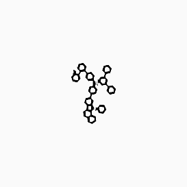 c1ccc(-c2cc(-c3ccccc3)cc(N(c3ccc(-c4ccc5c6ccc7ccccc7c6n(-c6ccccc6)c5c4)cc3)c3ccc(-c4cccc5sc6ccccc6c45)cc3)c2)cc1